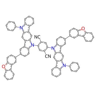 N#Cc1cc(-n2c3ccc(-c4ccc5oc6ccccc6c5c4)cc3c3cc4c(cc32)c2ccccc2n4-c2ccccc2)c(C#N)cc1-n1c2ccc(-c3ccc4oc5ccccc5c4c3)cc2c2cc3c(cc21)c1ccccc1n3-c1ccccc1